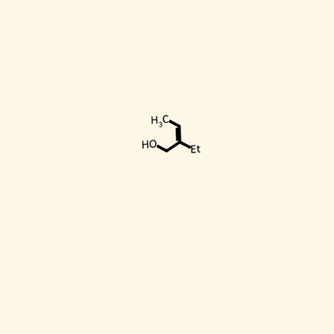 CC=C(CC)CO